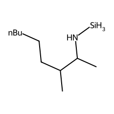 CCCCCCC(C)C(C)N[SiH3]